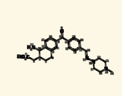 CCOC(=O)CC1CCc2cc(C(=O)c3ccc(C=NN4CCN(C)CC4)cc3)ccc2C1N